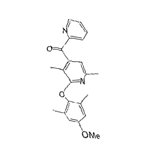 COc1cc(C)c(Oc2nc(C)cc(C(=O)c3ccccn3)c2C)c(C)c1